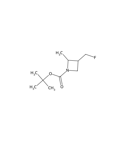 CC1C(CF)CN1C(=O)OC(C)(C)C